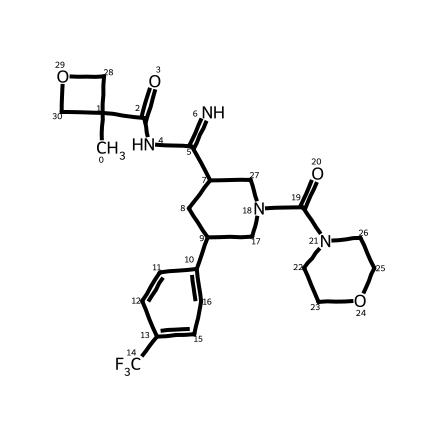 CC1(C(=O)NC(=N)C2CC(c3ccc(C(F)(F)F)cc3)CN(C(=O)N3CCOCC3)C2)COC1